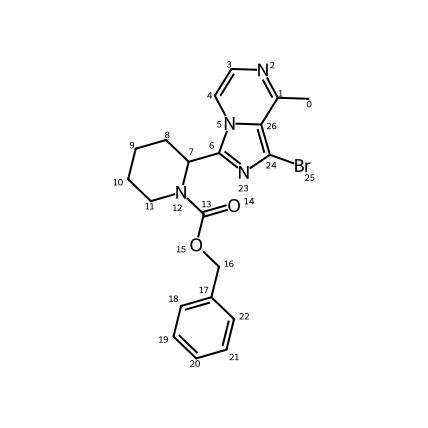 Cc1nccn2c(C3CCCCN3C(=O)OCc3ccccc3)nc(Br)c12